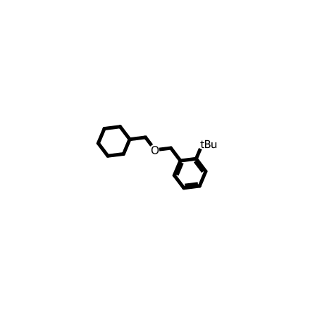 CC(C)(C)c1ccccc1COCC1CCCCC1